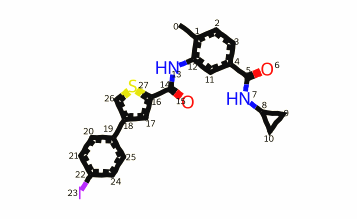 Cc1ccc(C(=O)NC2CC2)cc1NC(=O)c1cc(-c2ccc(I)cc2)cs1